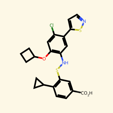 O=C(O)c1ccc(C2CC2)c(SNc2cc(-c3ccns3)c(Cl)cc2OC2CCC2)c1